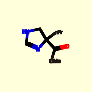 CCCC1(C(=O)OC)CNC=N1